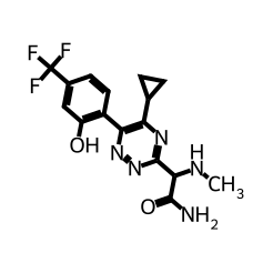 CNC(C(N)=O)c1nnc(-c2ccc(C(F)(F)F)cc2O)c(C2CC2)n1